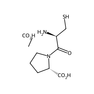 CC(=O)O.N[C@@H](CS)C(=O)N1CCC[C@H]1C(=O)O